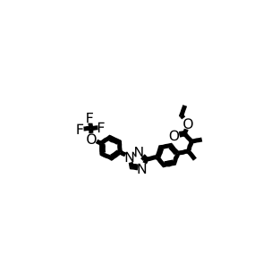 CCOC(=O)C(C)C(C)c1ccc(-c2ncn(-c3ccc(OC(F)(F)F)cc3)n2)cc1